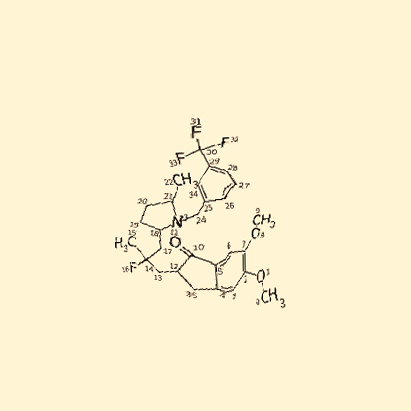 COc1cc2c(cc1OC)C(=O)C(CC(C)(F)CC1CCC(C)N1Cc1cccc(C(F)(F)F)c1)C2